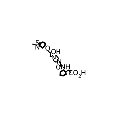 Cc1nc2cc(OC[C@H](O)CN3CCN(CC(=O)Nc4ccccc4CC(=O)O)CC3)ccc2s1